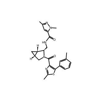 Cc1cccc(-c2sc(C)nc2C(=O)N2C[C@@H]3C[C@@H]3[C@H]2CNC(=O)c2cc(C)nn2C)c1